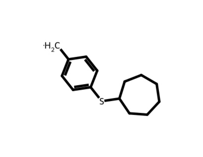 [CH2]c1ccc(SC2CCCCCC2)cc1